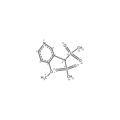 COc1ccncc1N(S(C)(=O)=O)S(C)(=O)=O